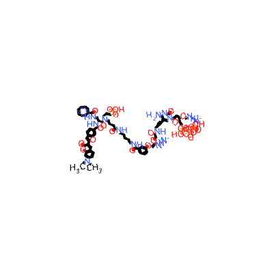 CCN(CC)c1ccc2cc(-c3cc4ccc(C(=O)NC(CNC(=O)C5=C/C=C\C=C/C=C\5)C(=O)N(CCCC(=O)NCCCCCNC(=O)c5cccc(OCC(N=[N+]=[N-])OCC(=O)NCC#Cc6cn(C7CC(OCN=[N+]=[N-])C(COP(=O)(O)OP(=O)(O)OP(=O)(O)O)O7)c(=O)nc6N)c5)CCCS(=O)(=O)O)cc4o3)c(=O)oc2c1